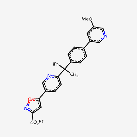 CCOC(=O)c1cc(-c2ccc(C(C)(c3ccc(-c4cncc(OC)c4)cc3)C(C)C)nc2)on1